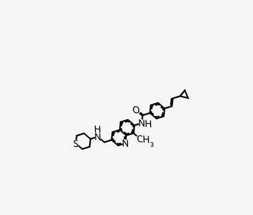 Cc1c(NC(=O)c2ccc(/C=C/C3CC3)cc2)ccc2cc(CNC3CCSCC3)cnc12